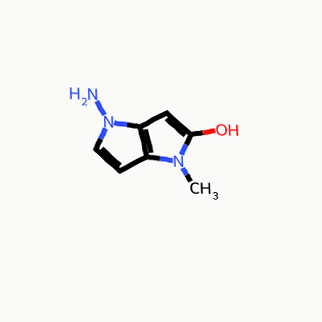 Cn1c(O)cc2c1ccn2N